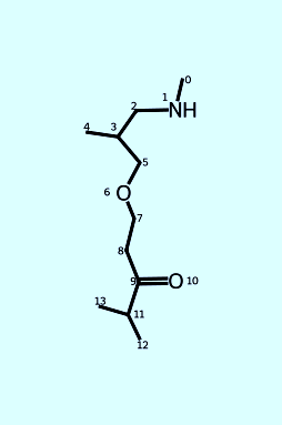 CNCC(C)COCCC(=O)C(C)C